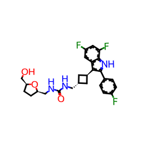 O=C(NC[C@H]1CC[C@@H](CO)O1)NC[C@H]1C[C@H](c2c(-c3ccc(F)cc3)[nH]c3c(F)cc(F)cc32)C1